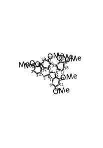 COc1ccc(/C=C2/c3cc(OC)cc(OC)c3[C@@H](c3ccc(OC)c(OC)c3)[C@@H]2c2cc(OC)cc(OC)c2)cc1